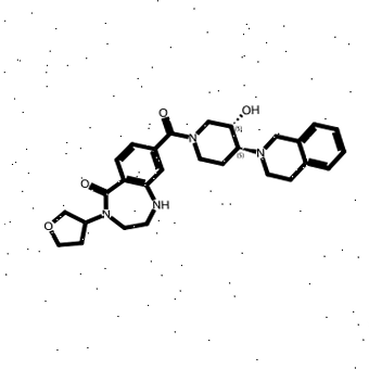 O=C(c1ccc2c(c1)NCCN(C1CCOC1)C2=O)N1CC[C@H](N2CCc3ccccc3C2)[C@@H](O)C1